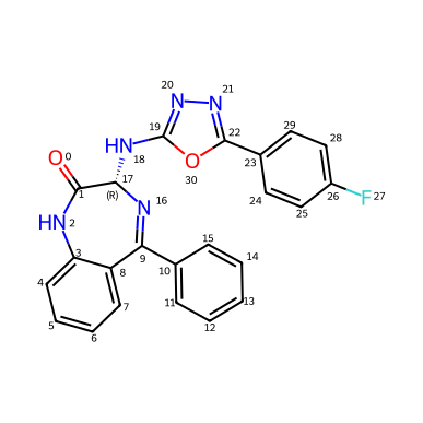 O=C1Nc2ccccc2C(c2ccccc2)=N[C@H]1Nc1nnc(-c2ccc(F)cc2)o1